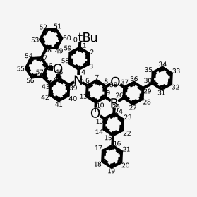 CC(C)(C)c1ccc(N(c2cc3c4c(c2)Oc2cc(-c5ccccc5)ccc2B4c2ccc(-c4ccccc4)cc2O3)c2cccc3c2oc2c(-c4ccccc4)cccc23)cc1